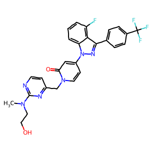 CN(CCO)c1nccc(Cn2ccc(-n3nc(-c4ccc(C(F)(F)F)cc4)c4c(F)cccc43)cc2=O)n1